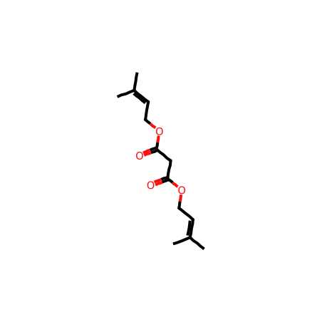 CC(C)=CCOC(=O)CC(=O)OCC=C(C)C